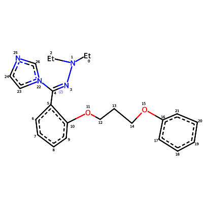 CCN(CC)/N=C(/c1ccccc1OCCCOc1ccccc1)n1ccnc1